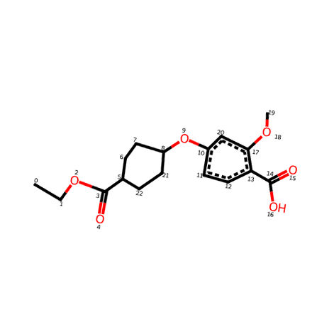 CCOC(=O)C1CCC(Oc2ccc(C(=O)O)c(OC)c2)CC1